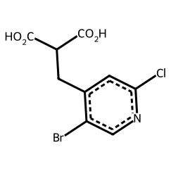 O=C(O)C(Cc1cc(Cl)ncc1Br)C(=O)O